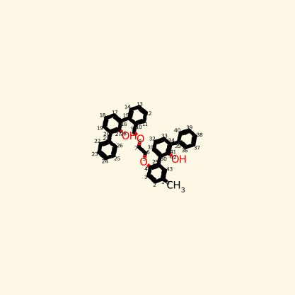 Cc1ccc(OCCOCc2ccccc2-c2cccc(-c3ccccc3)c2O)c(-c2cccc(-c3ccccc3)c2O)c1